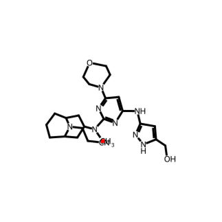 CN(c1nc(Nc2cc(CO)[nH]n2)cc(N2CCOCC2)n1)C1CC2CCCC(C1)N2CCC#N